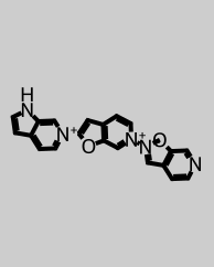 c1cc2c[n+](-[n+]3ccc4cc(-[n+]5ccc6cc[nH]c6c5)oc4c3)oc2cn1